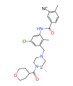 Cc1ccc(C(=O)Nc2cc(Cl)cc(CN3CCN(C(=O)C4CCOCC4)[C@@H](C)C3)c2C)cc1C#N